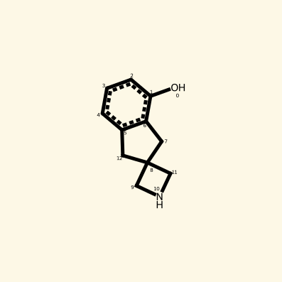 Oc1cccc2c1CC1(CNC1)C2